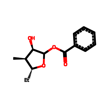 CC[C@H]1OC(OC(=O)c2ccccc2)[C@H](O)[C@@H]1C